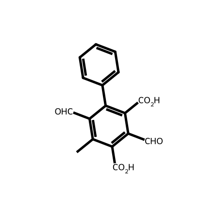 Cc1c(C=O)c(-c2ccccc2)c(C(=O)O)c(C=O)c1C(=O)O